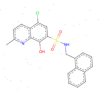 Cc1ccc2c(Cl)cc(S(=O)(=O)NCc3cccc4ccccc34)c(O)c2n1